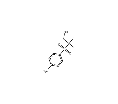 Cc1ccc(S(=O)(=O)C(F)(F)CO)cc1